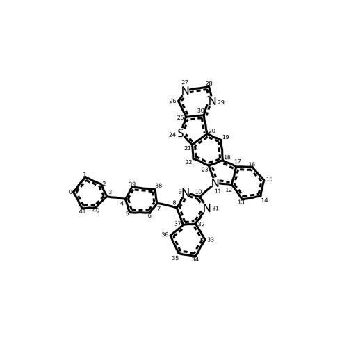 c1ccc(-c2ccc(-c3nc(-n4c5ccccc5c5cc6c(cc54)sc4cncnc46)nc4ccccc34)cc2)cc1